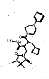 CN1C(=O)N(CC(C(=O)NO)C(CC2CCC2)C(=O)N2CCN(c3ccccc3)CC2)C(=O)C1(C)C